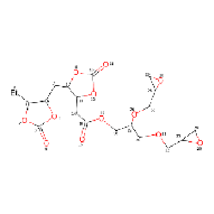 CCC1OC(=O)OC1CC1OC(=O)OC1CC(=O)OCC(COCC1CO1)OCC1CO1